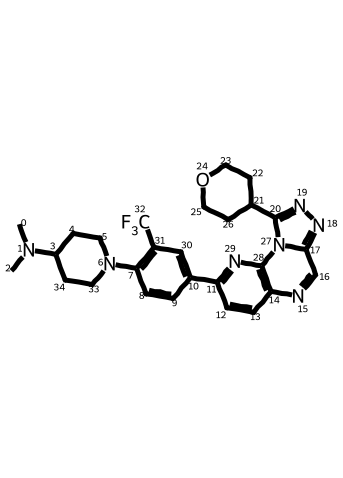 CN(C)C1CCN(c2ccc(-c3ccc4ncc5nnc(C6CCOCC6)n5c4n3)cc2C(F)(F)F)CC1